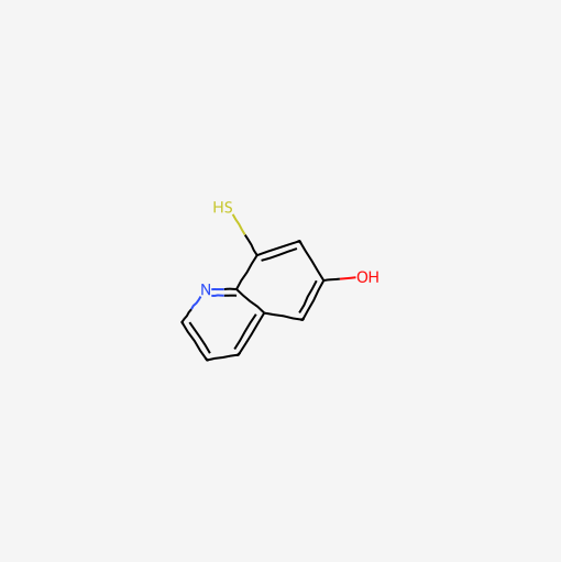 Oc1cc(S)c2ncccc2c1